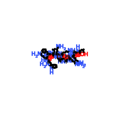 CC[C@H](C)[C@H](NC(=O)[C@H](CCCCN)NC(=O)[C@H](CCCCN)NC(=O)[C@H](CC(C)C)NC(=O)[C@H](Cc1ccccc1)NC(=O)[C@H](CCCCN)NC(=O)[C@@H](N)Cc1c[nH]c2ccccc12)C(=O)N[C@@H](C)C(=O)N[C@@H](CCCCN)C(=O)N[C@@H](CCCCN)C(=O)N[C@@H](C)C(=O)N[C@@H](CC(C)C)C(=O)O